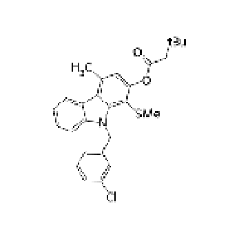 CSc1c(OC(=O)CC(C)(C)C)cc(C)c2c3ccccc3n(Cc3cccc(Cl)c3)c12